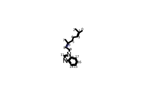 CC(C)=CCC/C(C)=C\Cn1cnc2ccccc21